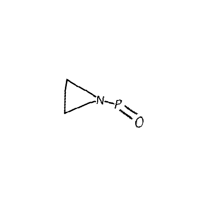 O=PN1CC1